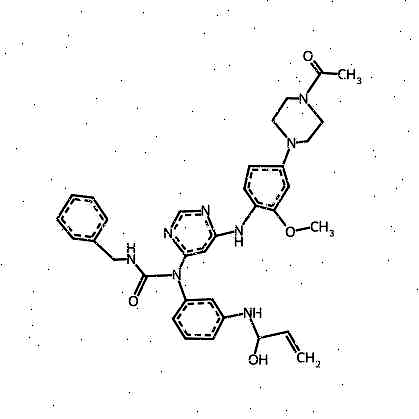 C=CC(O)Nc1cccc(N(C(=O)NCc2ccccc2)c2cc(Nc3ccc(N4CCN(C(C)=O)CC4)cc3OC)ncn2)c1